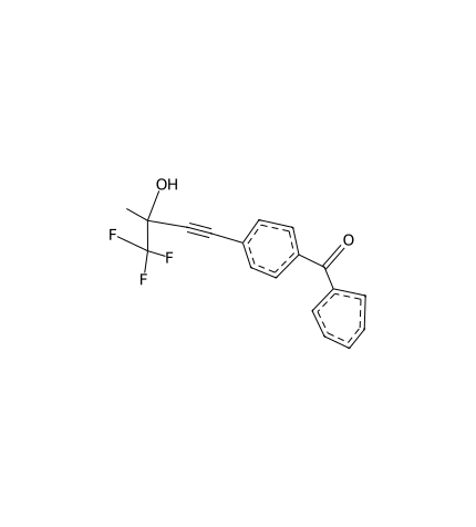 CC(O)(C#Cc1ccc(C(=O)c2ccccc2)cc1)C(F)(F)F